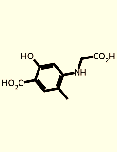 Cc1cc(C(=O)O)c(O)cc1NCC(=O)O